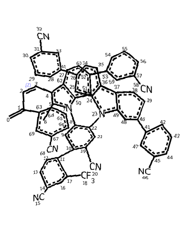 C=C(/C=C\c1c(C)n(-c2cc(-c3ccc(C#N)cc3C(F)(F)F)c(C#N)cc2-n2c3cc(-c4cccc(C#N)c4)ccc3c3ccc(-c4cccc(C#N)c4)cc32)c2cc(-c3cccc(C#N)c3)ccc12)c1cccc(C#N)c1